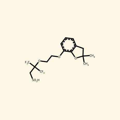 CC1(C)Cc2cccc(OCCOC(CS(=O)(=O)O)(C(F)(F)F)C(F)(F)F)c2O1